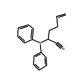 C=CCCC(C#N)N(c1ccccc1)c1ccccc1